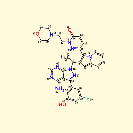 CC(c1cc2ccccn2c1-c1ccc(=O)n(CCN2CCOCC2)n1)n1nc(-c2cc(O)cc(F)c2)c2c(N)ncnc21